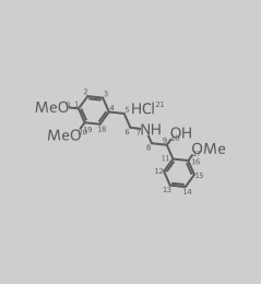 COc1ccc(CCNCC(O)c2ccccc2OC)cc1OC.Cl